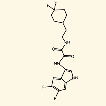 O=C(NCCC1CCC(F)(F)CC1)C(=O)Nc1c[nH]c2cc(F)c(F)cc12